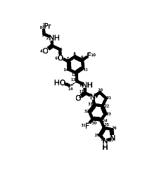 CC(C)CNC(=O)COc1cc(F)cc([C@@H](CO)NC(=O)N2CCc3cc(-c4cn[nH]c4)c(F)cc32)c1